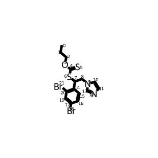 CCCOC(=S)SC(Cn1ccnc1)c1ccc(Br)cc1Br